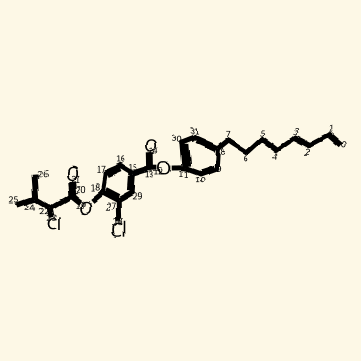 CCCCCCCCc1ccc(OC(=O)c2ccc(OC(=O)C(Cl)C(C)C)c(Cl)c2)cc1